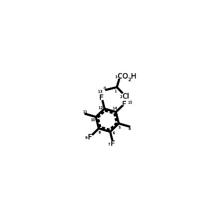 CC(Cl)C(=O)O.Cc1c(F)c(F)c(C)c(F)c1F